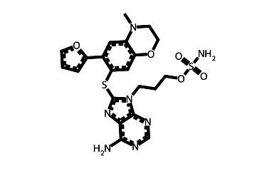 CN1CCOc2cc(Sc3nc4c(N)ncnc4n3CCCOS(N)(=O)=O)c(-c3ccco3)cc21